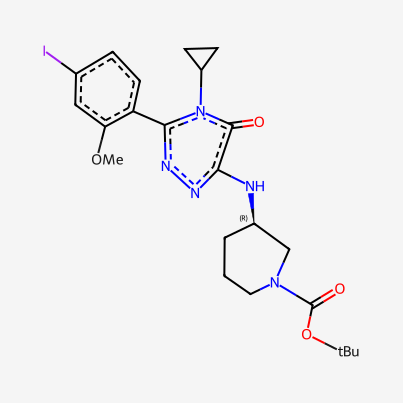 COc1cc(I)ccc1-c1nnc(N[C@@H]2CCCN(C(=O)OC(C)(C)C)C2)c(=O)n1C1CC1